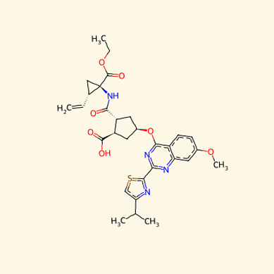 C=C[C@@H]1C[C@]1(NC(=O)[C@@H]1C[C@@H](Oc2nc(-c3nc(C(C)C)cs3)nc3cc(OC)ccc23)C[C@H]1C(=O)O)C(=O)OCC